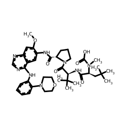 COc1cc2ncnc(Nc3ccccc3N3CCOCC3)c2cc1NC(=O)[C@@H]1CCCN1C(=O)[C@@H](NC(=O)[C@H](CC(C)(C)C)N(C)C(=O)O)C(C)(C)C